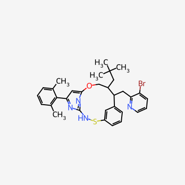 Cc1cccc(C)c1-c1cc2nc(n1)NSc1cccc(c1)C(Cc1ncccc1Br)C(CC(C)(C)C)CO2